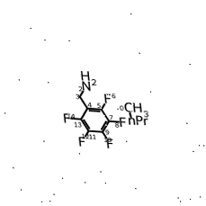 CCCC.NCc1c(F)c(F)c(F)c(F)c1F